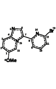 COc1ccc2ncc(-c3cccc(Br)n3)n2c1